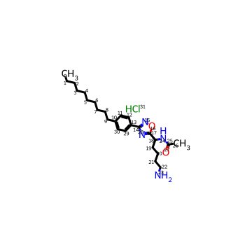 CCCCCCCCCCc1ccc(-c2noc(C(CCCCN)NC(C)=O)n2)cc1.Cl